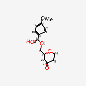 COc1ccc(C(O)OCC2CC(=O)CCO2)cc1